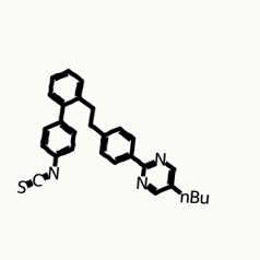 CCCCc1cnc(-c2ccc(CCc3ccccc3-c3ccc(N=C=S)cc3)cc2)nc1